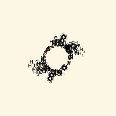 CN[C@@H](C)C(=O)N[C@H](C(=O)N1C[C@@H]2C[C@H]1C(=O)N[C@@H](Cc1ccc3ccccc3c1)C(=O)N[C@H](C(=O)O)Cc1ccc(cc1)OCc1cn(nn1)[C@H]1C[C@@H](C(=O)N[C@@H](Cc3ccc4ccccc4c3)C(=O)N[C@H](c3noc(=O)[nH]3)Cc3ccc(cc3)OCc3cn2nn3)N(C(=O)[C@@H](NC(=O)[C@H](C)NC)C(C)(C)C)C1)C(C)(C)C